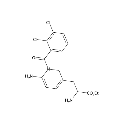 CCOC(=O)C(N)CC1=CC=C(N)N(C(=O)c2cccc(Cl)c2Cl)C1